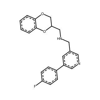 Fc1ccc(-c2cncc(CNCC3COc4ccccc4O3)c2)cc1